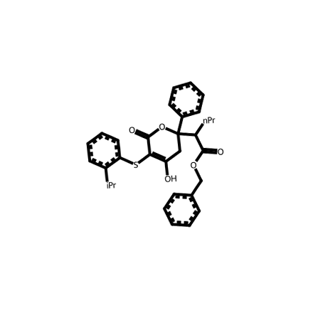 CCCC(C(=O)OCc1ccccc1)C1(c2ccccc2)CC(O)=C(Sc2ccccc2C(C)C)C(=O)O1